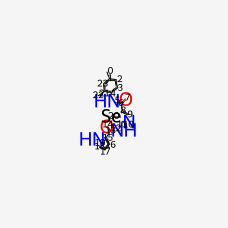 Cc1ccc(NC(=O)c2cnc(NC(=O)c3ccc[nH]3)[se]2)c(C)c1